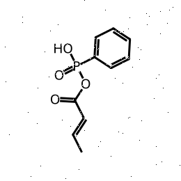 CC=CC(=O)OP(=O)(O)c1ccccc1